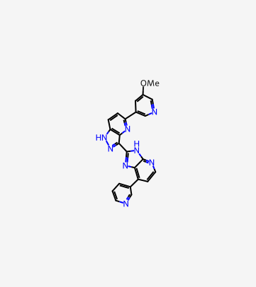 COc1cncc(-c2ccc3[nH]nc(-c4nc5c(-c6cccnc6)ccnc5[nH]4)c3n2)c1